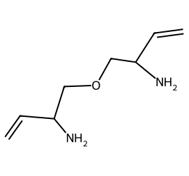 C=CC(N)COCC(N)C=C